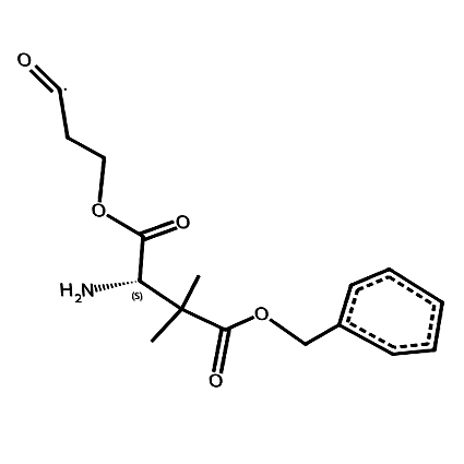 CC(C)(C(=O)OCc1ccccc1)[C@H](N)C(=O)OCC[C]=O